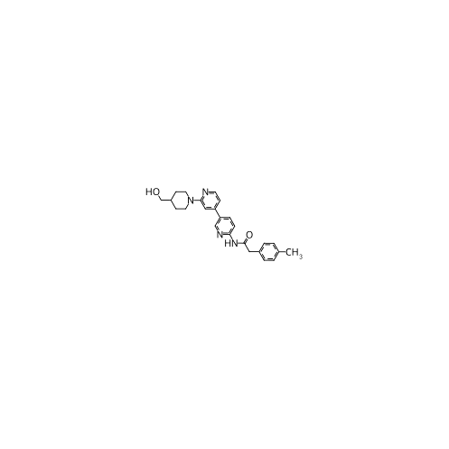 Cc1ccc(CC(=O)Nc2ccc(-c3ccnc(N4CCC(CO)CC4)c3)cn2)cc1